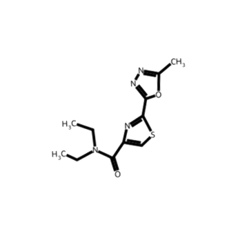 CCN(CC)C(=O)c1csc(-c2nnc(C)o2)n1